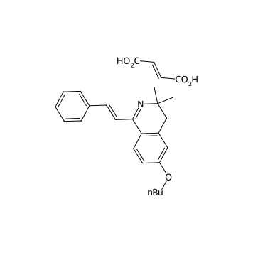 CCCCOc1ccc2c(c1)CC(C)(C)N=C2C=Cc1ccccc1.O=C(O)/C=C/C(=O)O